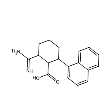 N=C(N)C1CCCC(c2cccc3ccccc23)C1C(=O)O